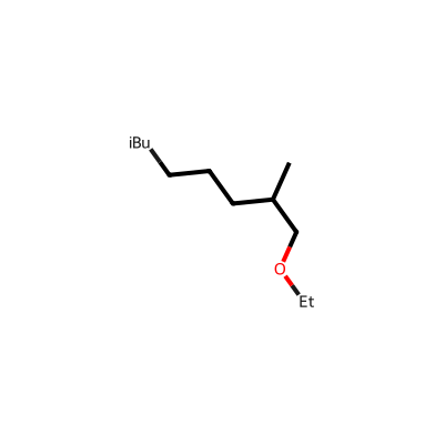 CCOCC(C)CCCC(C)CC